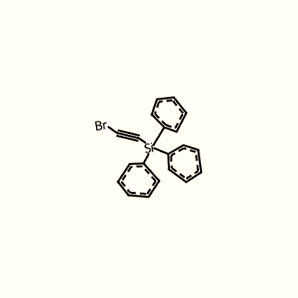 BrC#C[Si](c1ccccc1)(c1ccccc1)c1ccccc1